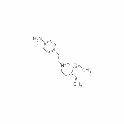 C=CN1CCN(CCc2ccc(N)cc2)C/C1=C/C